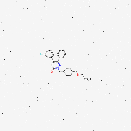 O=C(O)COCC1CCC(Cn2nc(-c3ccccc3)c(-c3cccc(F)c3)cc2=O)CC1